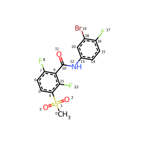 CS(=O)(=O)c1ccc(F)c(C(=O)Nc2ccc(F)c(Br)c2)c1F